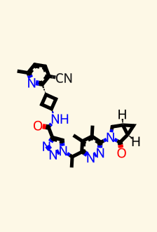 Cc1ccc(C#N)c([C@H]2C[C@@H](NC(=O)c3cn(C(C)c4nnc(N5C[C@H]6C[C@H]6C5=O)c(C)c4C)nn3)C2)n1